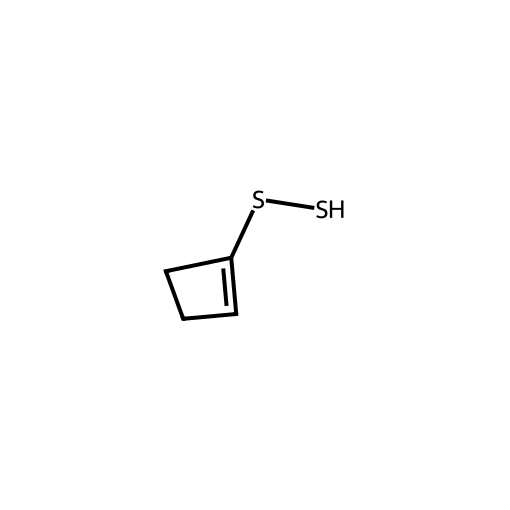 SSC1=CCC1